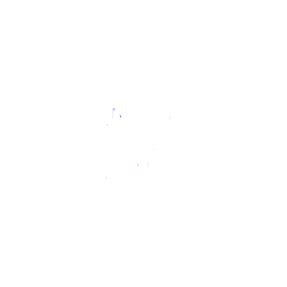 CCOC(=O)C(C=O)C(N)c1ccccc1